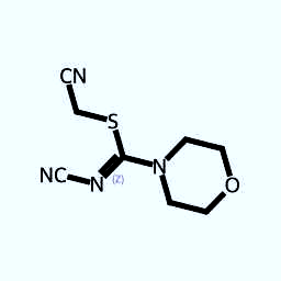 N#CCS/C(=N\C#N)N1CCOCC1